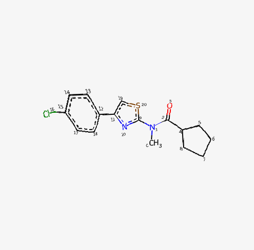 CN(C(=O)C1CCCC1)c1nc(-c2ccc(Cl)cc2)cs1